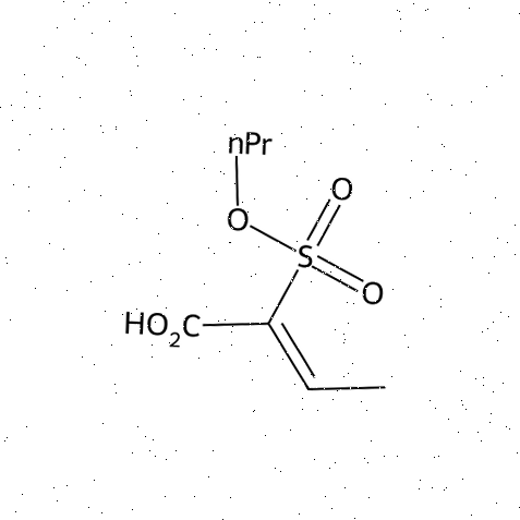 CC=C(C(=O)O)S(=O)(=O)OCCC